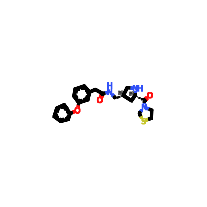 O=C(Cc1cccc(Oc2ccccc2)c1)NC[C@@H]1CN[C@H](C(=O)N2CCSC2)C1